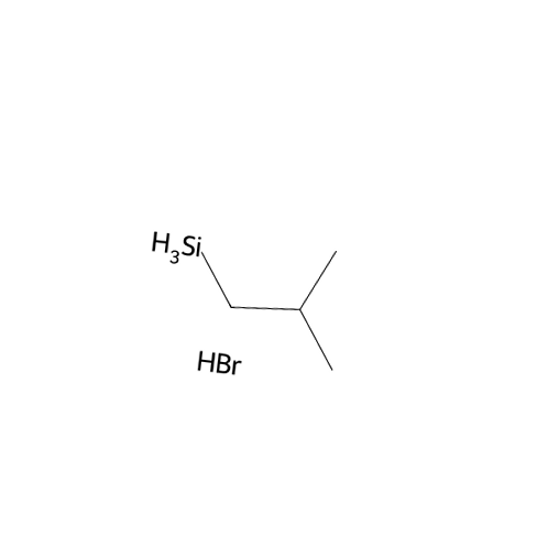 Br.CC(C)C[SiH3]